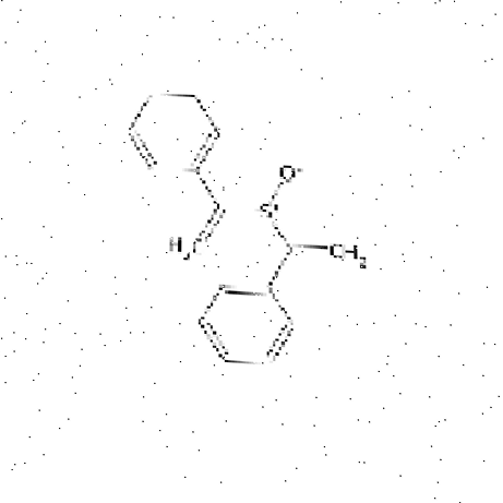 C=C(c1ccccc1)[S+]([O-])C(=C)c1ccccc1